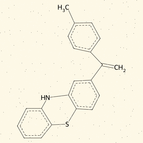 C=C(c1ccc(C)cc1)c1ccc2c(c1)Nc1ccccc1S2